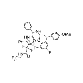 COc1ccc(C(CC(=O)NC(C(=O)N[C@H](C(=O)C(F)(F)C(=O)NCC(F)(F)F)C(C)C)c2ccccc2)c2cc(F)cc(F)c2)cc1